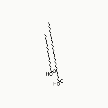 CCCCCCCCCCCCCCCCCC(=O)O.CCCCCCCCCCCCCCCCCCCCCCCCCCCC(=O)O